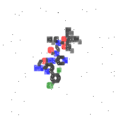 CN(CCN(C=O)c1cnccc1Nc1cc(-c2cc(Cl)ccc2F)nc2c1OCCN2)C(=O)OC(C)(C)C